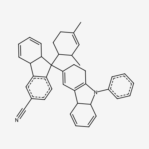 CC1=CC(C)C(C2(C3=CC4=C(CC3)N(c3ccccc3)C3C=CC=CC43)c3ccc(C#N)cc3C3C=CC=CC32)CC1